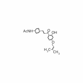 CC(=O)Nc1ccc(C=CC(=O)c2ccc(OCC=C(C)C)cc2O)cc1